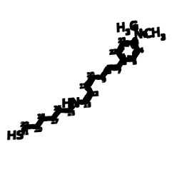 CN(C)c1ccc(/C=C/C/C=C\C=C/NCCCCCCS)cc1